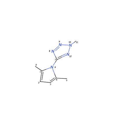 Cc1ccc(C)n1-c1nnn(C)n1